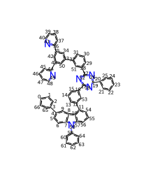 c1ccc(-c2ccc3c(c2)c2c(-c4cccc(-c5nc(-c6ccccc6)nc(-c6cccc(-c7cc(-c8ccccn8)cc(-c8ccccn8)c7)c6)n5)c4)cccc2n3-c2ccccc2)cc1